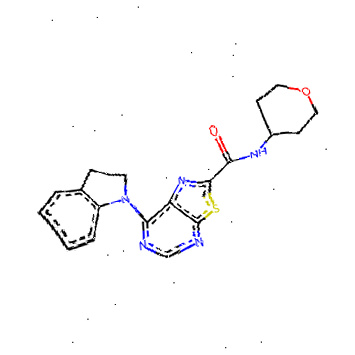 O=C(NC1CCOCC1)c1nc2c(N3CCc4ccccc43)ncnc2s1